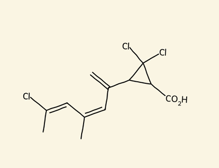 C=C(/C=C(C)\C=C(/C)Cl)C1C(C(=O)O)C1(Cl)Cl